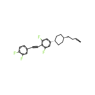 C=CCC[C@H]1CC[C@H](c2cc(F)c(C#Cc3ccc(F)c(F)c3)c(F)c2)CC1